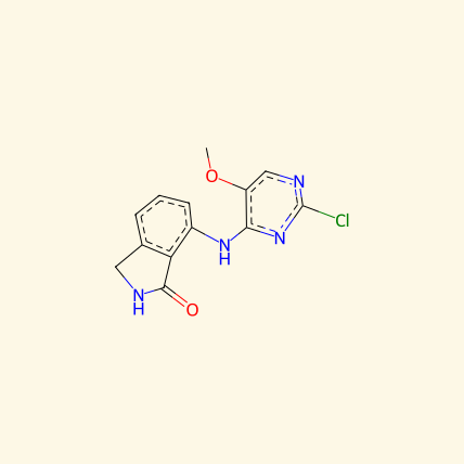 COc1cnc(Cl)nc1Nc1cccc2c1C(=O)NC2